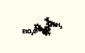 CCOC(=O)Cc1ccccc1OCc1nn(C(C)C)c2ccc(-c3cc(CN)cc(C4CC4)c3)cc12